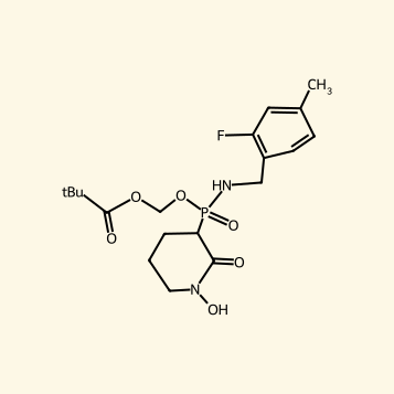 Cc1ccc(CNP(=O)(OCOC(=O)C(C)(C)C)C2CCCN(O)C2=O)c(F)c1